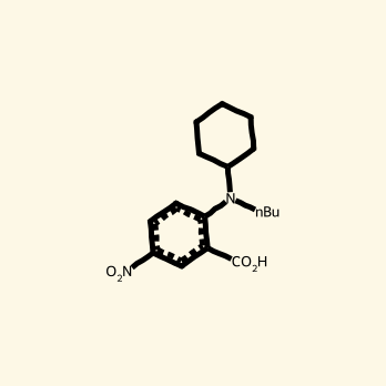 CCCCN(c1ccc([N+](=O)[O-])cc1C(=O)O)C1CCCCC1